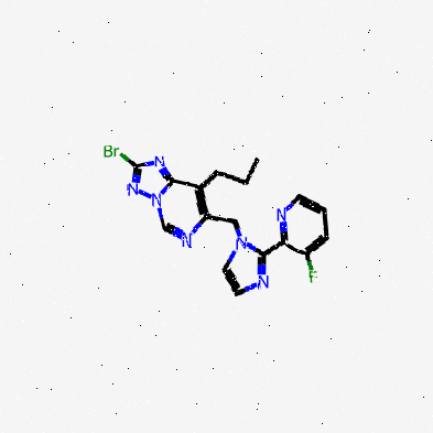 CCCc1c(Cn2ccnc2-c2ncccc2F)ncn2nc(Br)nc12